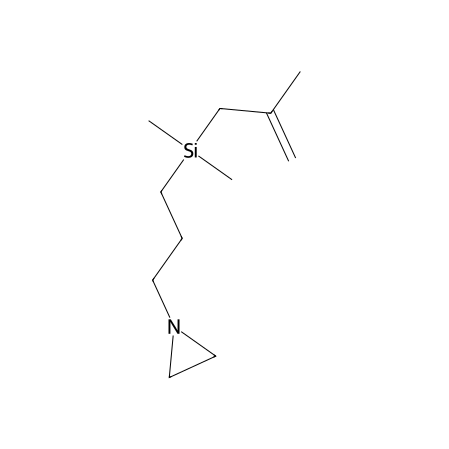 C=C(C)C[Si](C)(C)CCCN1CC1